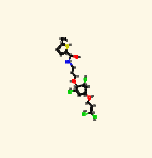 Cc1ccc(C(=O)NCCCOc2c(Cl)cc(OCC=C(Cl)Cl)cc2Cl)s1